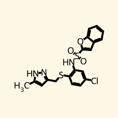 Cc1cc(CSc2ccc(Cl)cc2NS(=O)(=O)c2cc3ccccc3o2)n[nH]1